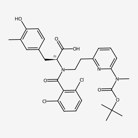 Cc1cc(C[C@@H](C(=O)O)N(CCc2cccc(N(C)C(=O)OC(C)(C)C)n2)C(=O)c2c(Cl)cccc2Cl)ccc1O